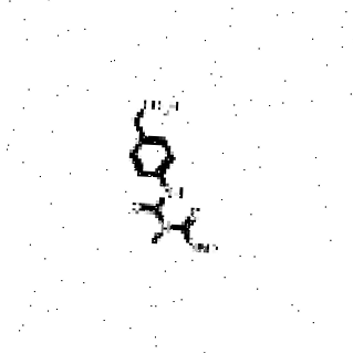 CNC(=O)N(C)C(=O)Nc1ccc(CC(=O)O)cc1